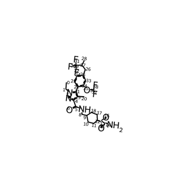 CCn1nc(C(=O)NCC2CCC(S(N)(=O)=O)CC2)c(C)c1-c1ccc(CC(C)C(F)(F)F)cc1OC(F)F